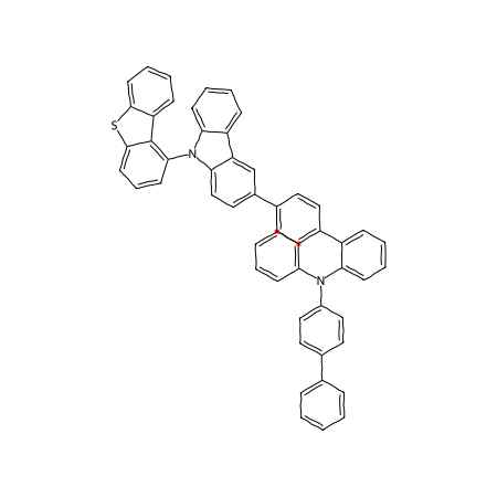 c1ccc(-c2ccc(N(c3ccccc3)c3ccccc3-c3ccc(-c4ccc5c(c4)c4ccccc4n5-c4cccc5sc6ccccc6c45)cc3)cc2)cc1